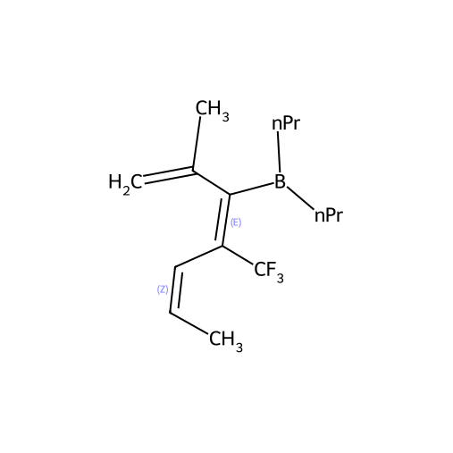 C=C(C)/C(B(CCC)CCC)=C(\C=C/C)C(F)(F)F